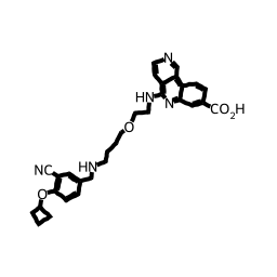 N#Cc1cc(CNCCCCOCCNc2nc3cc(C(=O)O)ccc3c3cnccc23)ccc1OC1CCC1